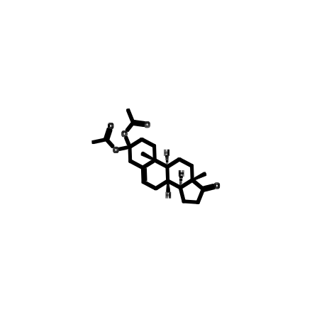 CC(=O)OC1(OC(C)=O)CC[C@@]2(C)C(=CC[C@@H]3[C@@H]2CC[C@]2(C)C(=O)CC[C@@H]32)C1